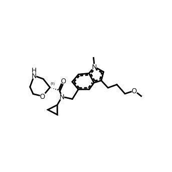 COCCCc1cn(C)c2ccc(CN(C(=O)[C@H]3CNCCO3)C3CC3)cc12